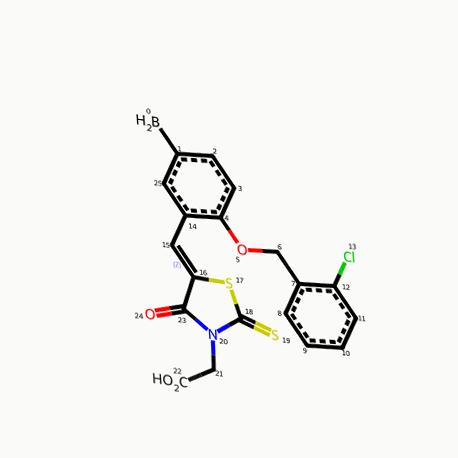 Bc1ccc(OCc2ccccc2Cl)c(/C=C2\SC(=S)N(CC(=O)O)C2=O)c1